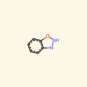 c1ccc2c(c1)[N]NO2